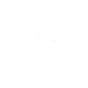 CC(=O)N1CCc2cc(C)cnc21